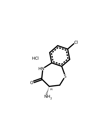 Cl.N[C@H]1CSc2cc(Cl)ccc2NC1=O